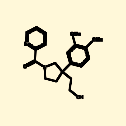 COc1ccc(C2(CCO)CCN(C(=O)c3ccccn3)C2)cc1OC